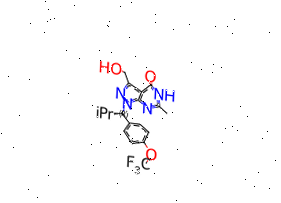 Cc1nc2c(c(CO)nn2[C@@H](c2ccc(OC(F)(F)F)cc2)C(C)C)c(=O)[nH]1